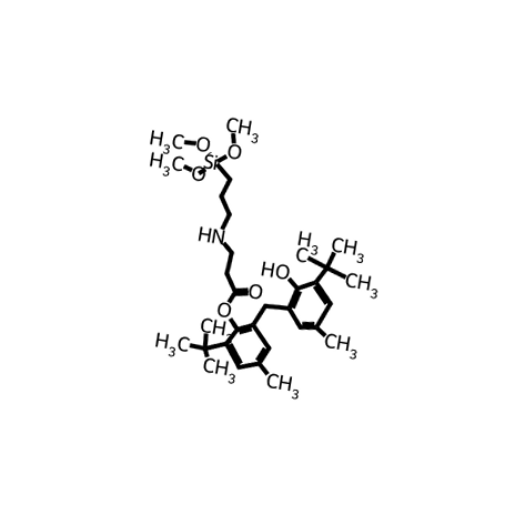 CO[Si](CCCNCCC(=O)Oc1c(Cc2cc(C)cc(C(C)(C)C)c2O)cc(C)cc1C(C)(C)C)(OC)OC